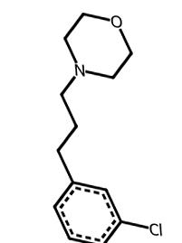 Clc1cccc(CCCN2CCOCC2)c1